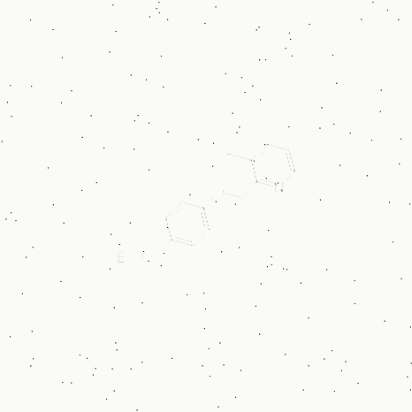 CCOC(=O)c1ccc(OCc2ncccc2F)cc1